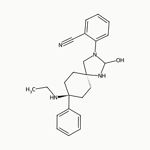 CCN[C@]1(c2ccccc2)CC[C@]2(CC1)CN(c1ccccc1C#N)C(O)N2